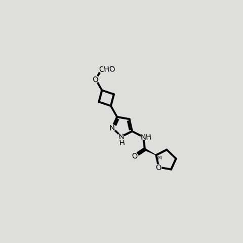 O=COC1CC(c2cc(NC(=O)[C@H]3CCCO3)[nH]n2)C1